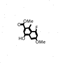 COC(=O)c1cc(O)c2cc(OC)cc(F)c2c1C